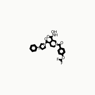 O=C(NO)C1CN(C(=O)c2ccc(OC(F)F)cc2)CCC1C(=O)N1CC[C@@H](c2ccccc2)C1